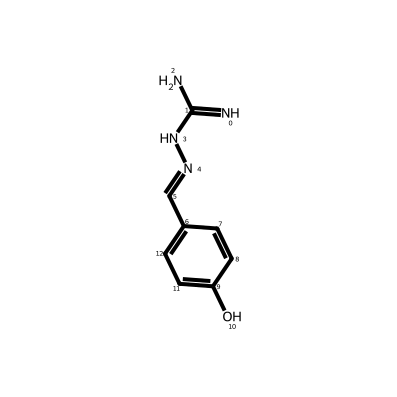 N=C(N)NN=Cc1ccc(O)cc1